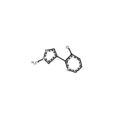 Cn1cc(-c2ncccc2Cl)cn1